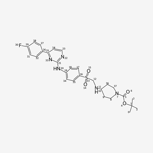 CC(C)(C)OC(=O)N1CCC(NCS(=O)(=O)c2ccc(Nc3nccc(-c4ccc(F)cc4)n3)cc2)CC1